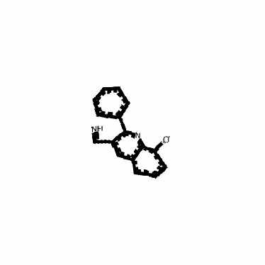 N=Cc1cc2cccc(Cl)c2nc1-c1ccccc1